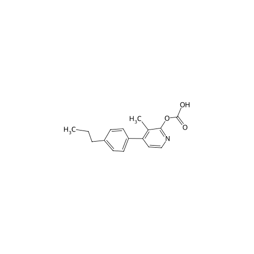 CCCc1ccc(-c2ccnc(OC(=O)O)c2C)cc1